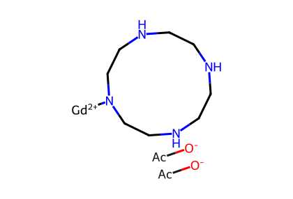 CC(=O)[O-].CC(=O)[O-].[Gd+2][N]1CCNCCNCCNCC1